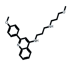 COCCCNCCCNc1cc(-c2ccc(OC)cc2)nc2ccccc12